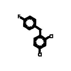 Fc1ccc([CH]c2ccc(Cl)cc2Cl)cc1